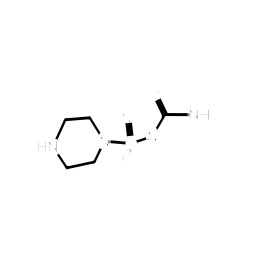 NC(=O)[N]S(=O)(=O)N1CCNCC1